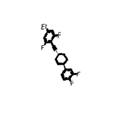 CCc1cc(F)c(C#C[C@H]2CC[C@H](c3ccc(F)c(F)c3)CC2)c(F)c1